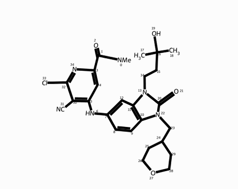 CNC(=O)c1cc(Nc2ccc3c(c2)n(CCC(C)(C)O)c(=O)n3CC2CCOCC2)c(C#N)c(Cl)n1